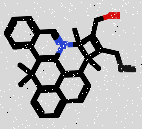 COCC1=C(CO)C2(C)[n+]3cc4ccccc4c4c3-c3c(ccc5cccc(c35)C4(C)C)C12C